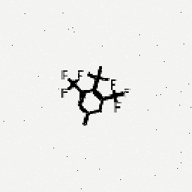 CC1C=C(C(F)(F)F)C(C(C)(C)C)=C(C(F)(F)F)C1